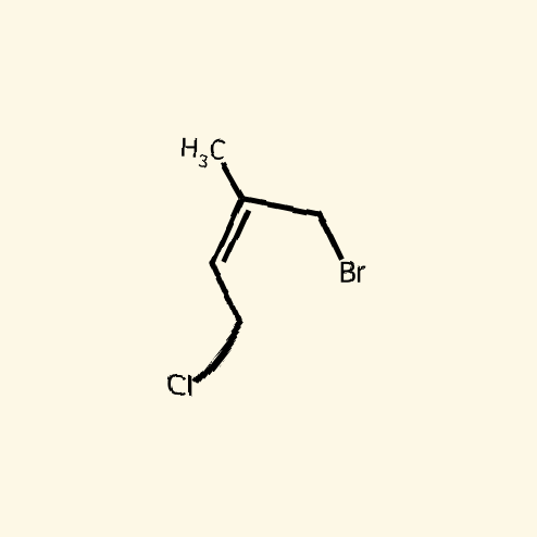 CC(=CCCl)CBr